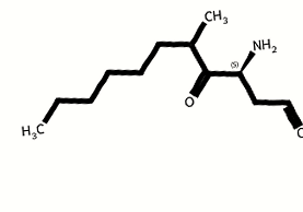 CCCCCCC(C)C(=O)[C@@H](N)CC=O